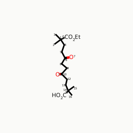 CCOC(=O)C(C)(C)CCC(=O)CCC(=O)CCC(C)(C)C(=O)O